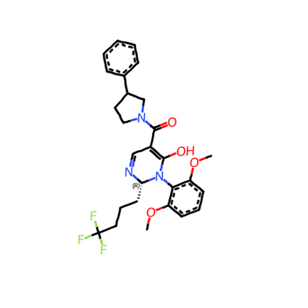 COc1cccc(OC)c1N1C(O)=C(C(=O)N2CCC(c3ccccc3)C2)C=N[C@H]1CCCC(F)(F)F